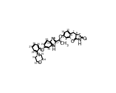 CC(Oc1ccc(CC2SC(=O)NC2=O)cc1)c1nc2ccc(Oc3ccccc3N3CCOCC3)cc2[nH]1